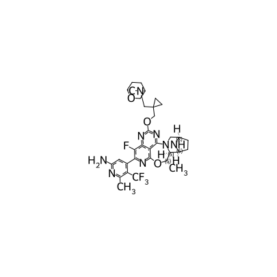 Cc1nc(N)cc(-c2nc3c4c(nc(OCC5(CN6CC7CCC6CO7)CC5)nc4c2F)N2C[C@H]4CC[C@H](N4)[C@H]2[C@H](C)O3)c1C(F)(F)F